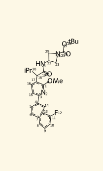 COc1nc(-c2ccc3cccc(F)c3c2)ccc1C(C(=O)NC1CN(C(=O)OC(C)(C)C)C1)C(C)C